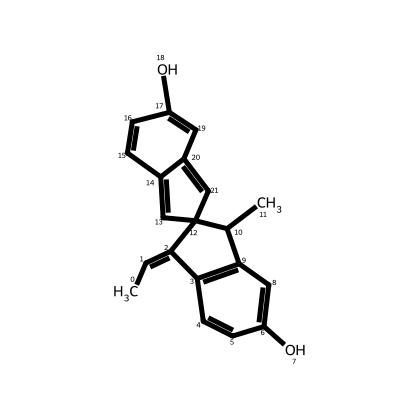 CC=C1c2ccc(O)cc2C(C)C12C=c1ccc(O)cc1=C2